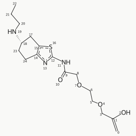 C=C(O)COCCOCC(=O)Nc1nc2c(s1)C[C@@H](NCCC)CC2